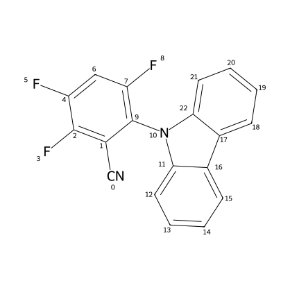 N#Cc1c(F)c(F)cc(F)c1-n1c2ccccc2c2ccccc21